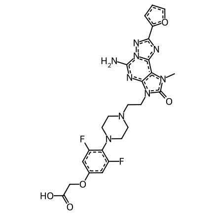 Cn1c(=O)n(CCN2CCN(c3c(F)cc(OCC(=O)O)cc3F)CC2)c2nc(N)n3nc(-c4ccco4)nc3c21